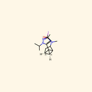 CC(=O)N(C)C1C[C@@H]2[C@@H]3C1C23c1cc(I)nn1C(C)C